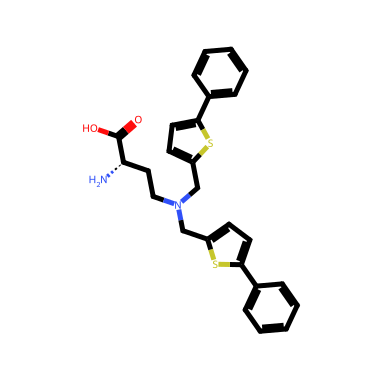 N[C@@H](CCN(Cc1ccc(-c2ccccc2)s1)Cc1ccc(-c2ccccc2)s1)C(=O)O